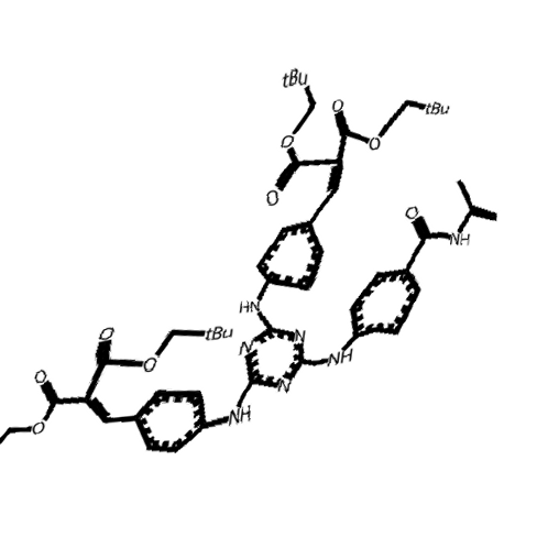 C=C(C)NC(=O)c1ccc(Nc2nc(Nc3ccc(C=C(C(=O)OCC(C)(C)C)C(=O)OCC(C)(C)C)cc3)nc(Nc3ccc(C=C(C(=O)OCC(C)(C)C)C(=O)OCC(C)(C)C)cc3)n2)cc1